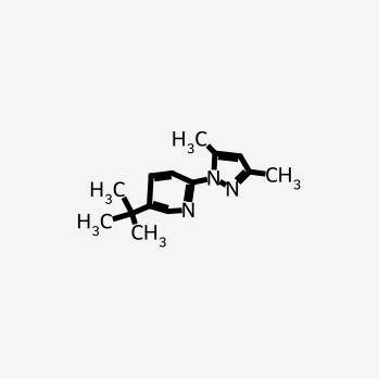 Cc1cc(C)n(-c2ccc(C(C)(C)C)cn2)n1